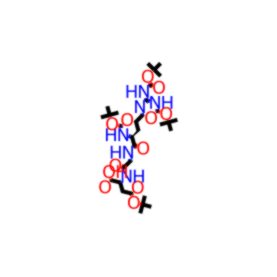 CC(C)(C)OC(=O)CC(NC(=O)CNC(=O)[C@H](CCCN=C(NC(=O)OC(C)(C)C)NC(=O)OC(C)(C)C)NC(=O)OC(C)(C)C)C(=O)O